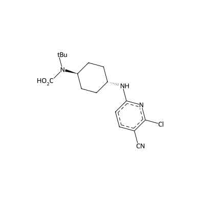 CC(C)(C)N(C(=O)O)[C@H]1CC[C@H](Nc2ccc(C#N)c(Cl)n2)CC1